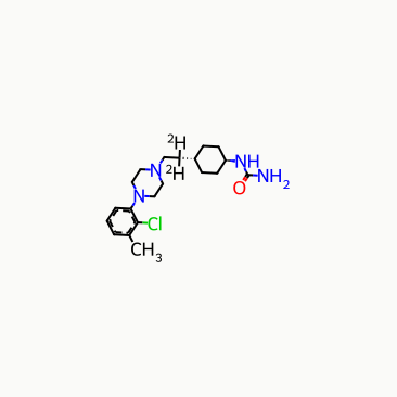 [2H]C([2H])(CN1CCN(c2cccc(C)c2Cl)CC1)[C@H]1CC[C@H](NC(N)=O)CC1